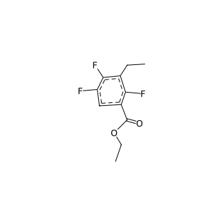 CCOC(=O)c1cc(F)c(F)c(CC)c1F